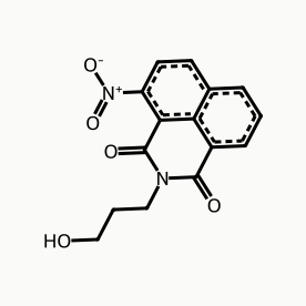 O=C1c2cccc3ccc([N+](=O)[O-])c(c23)C(=O)N1CCCO